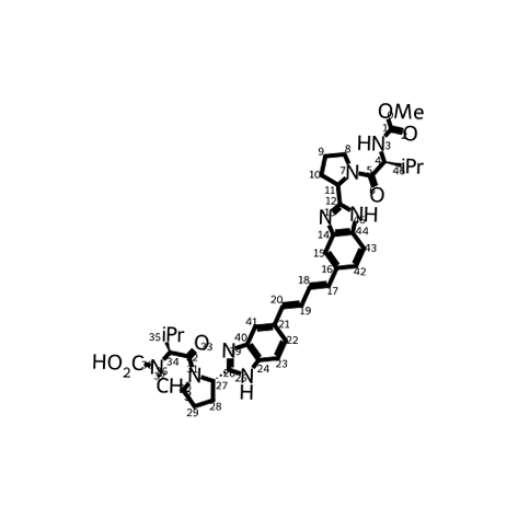 COC(=O)N[C@H](C(=O)N1CCCC1c1nc2cc(C=CC=Cc3ccc4[nH]c([C@@H]5CCCN5C(=O)[C@H](C(C)C)N(C)C(=O)O)nc4c3)ccc2[nH]1)C(C)C